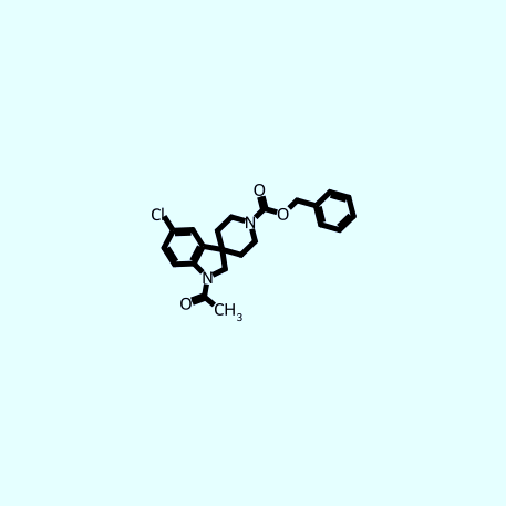 CC(=O)N1CC2(CCN(C(=O)OCc3ccccc3)CC2)c2cc(Cl)ccc21